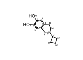 Oc1cc2c(cc1O)CN(C1CCC1)CC2